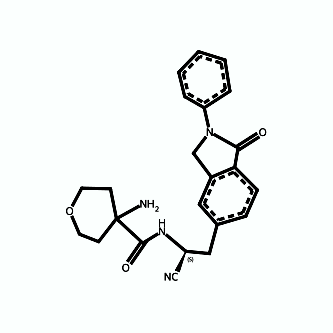 N#C[C@H](Cc1ccc2c(c1)CN(c1ccccc1)C2=O)NC(=O)C1(N)CCOCC1